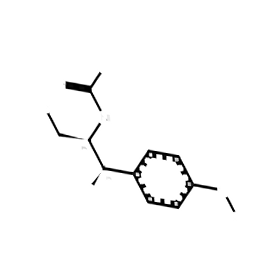 COc1ccc([C@@H](O)[C@@H](CO)NC(=O)O)cc1